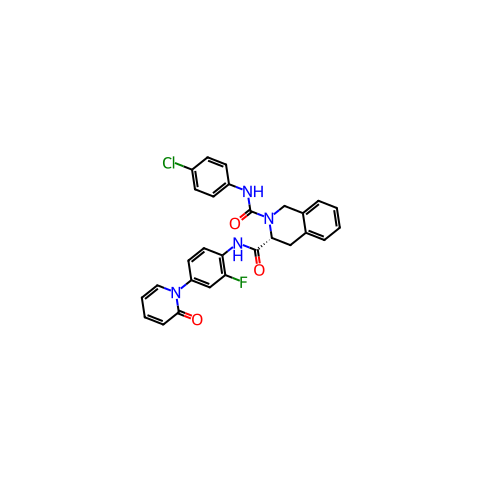 O=C(Nc1ccc(-n2ccccc2=O)cc1F)[C@H]1Cc2ccccc2CN1C(=O)Nc1ccc(Cl)cc1